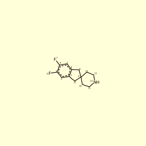 Fc1cc2c(cc1F)CC1(CCNCC1)C2